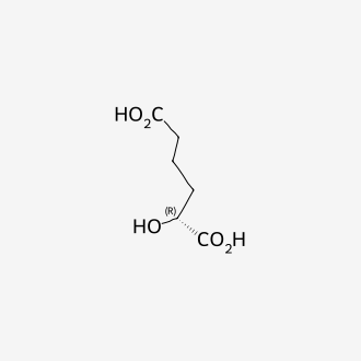 O=C(O)CCC[C@@H](O)C(=O)O